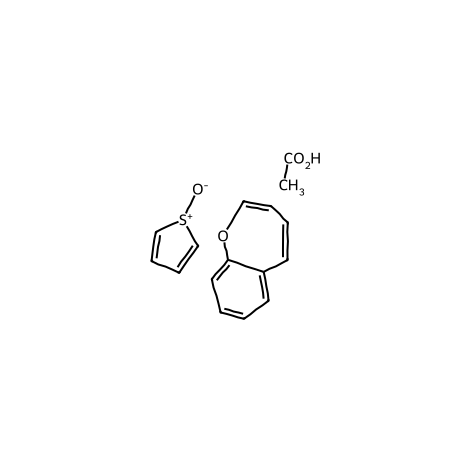 C1=COc2ccccc2C=C1.CC(=O)O.[O-][s+]1cccc1